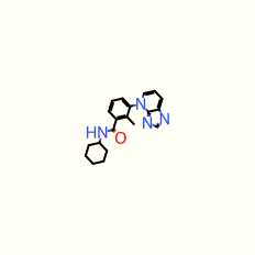 Cc1c(C(=O)NC2CCCCC2)cccc1-n1cccc2ncnc1-2